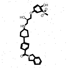 CS(=O)(=O)c1cc(OC[C@H](O)CNC2CCC(c3ccc(C(=O)N4Cc5ccccc5C4)cc3)CC2)ccc1O